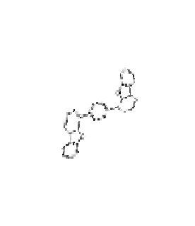 C1=CC2c3ccccc3OC2C(c2ccc(C3CC=CC4c5ccccc5OC43)cc2)=C1